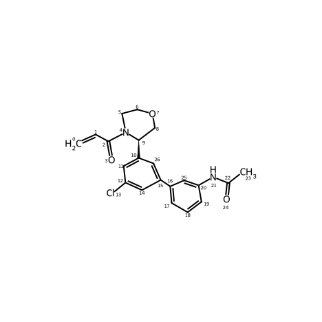 C=CC(=O)N1CCOC[C@H]1c1cc(Cl)cc(-c2cccc(NC(C)=O)c2)c1